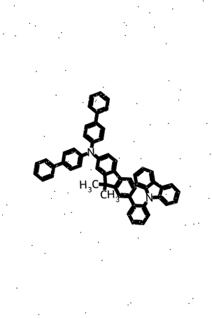 CC1(C)c2cc(-c3ccccc3-n3c4ccccc4c4ccccc43)ccc2-c2ccc(N(c3ccc(-c4ccccc4)cc3)c3ccc(-c4ccccc4)cc3)cc21